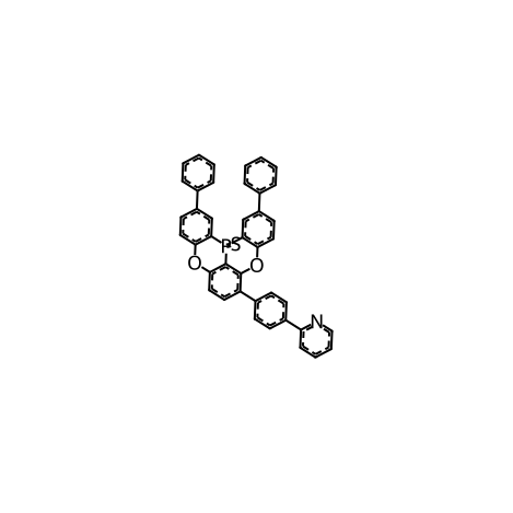 S=P12c3cc(-c4ccccc4)ccc3Oc3ccc(-c4ccc(-c5ccccn5)cc4)c(c31)Oc1ccc(-c3ccccc3)cc12